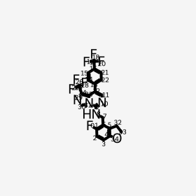 Fc1ccc2c(c1CNc1ncc(-c3ccc(C(F)(F)F)cc3)c3c(C(F)(F)F)ncn13)CCO2